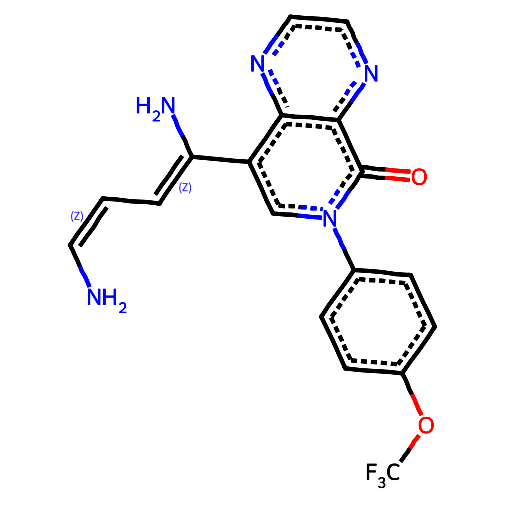 N/C=C\C=C(/N)c1cn(-c2ccc(OC(F)(F)F)cc2)c(=O)c2nccnc12